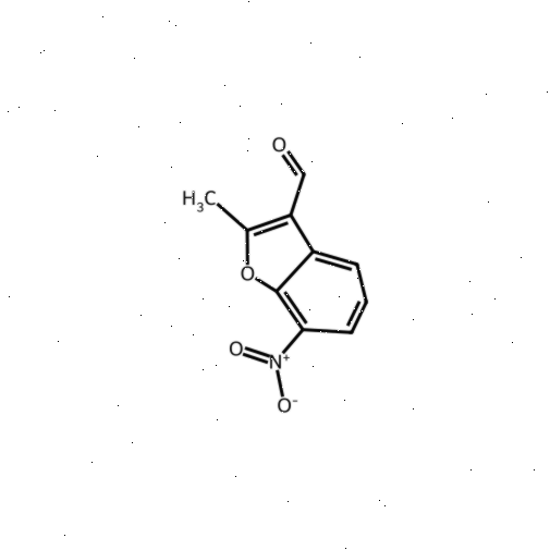 Cc1oc2c([N+](=O)[O-])cccc2c1C=O